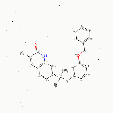 CCc1cc2ccc(C(C)(C#N)Cc3cccc(OCc4ccccc4)c3)cc2[nH]c1=O